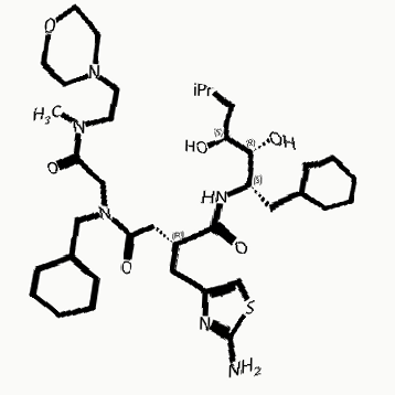 CC(C)C[C@H](O)[C@H](O)[C@H](CC1CCCCC1)NC(=O)[C@@H](CC(=O)N(CC(=O)N(C)CCN1CCOCC1)CC1CCCCC1)Cc1csc(N)n1